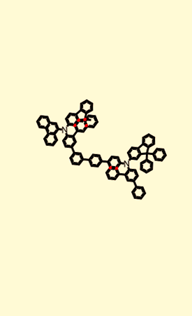 CC1(C)c2ccccc2-c2ccc(N(c3ccc(-c4cccc(-c5ccc(-c6ccc(N(c7ccc8c(c7)C(c7ccccc7)(c7ccccc7)c7ccccc7-8)c7ccc(-c8ccccc8)cc7-c7ccccc7)cc6)cc5)c4)cc3-c3ccc4ccccc4c3)c3cc4ccccc4c4ccccc34)cc21